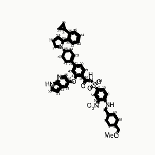 COCC1CCC(CNc2ccc(S(=O)(=O)NC(=O)c3ccc(C4=CCC(N5CCCC5c5ccccc5C5CC5)CC4)cc3Oc3cnc4[nH]ccc4c3)cc2[N+](=O)[O-])CC1